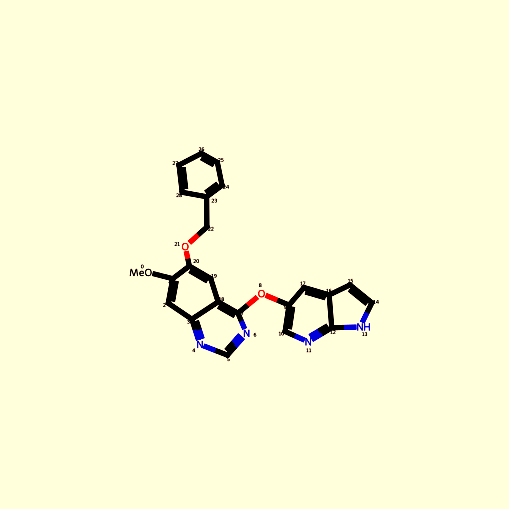 COc1cc2ncnc(Oc3cnc4[nH]ccc4c3)c2cc1OCc1ccccc1